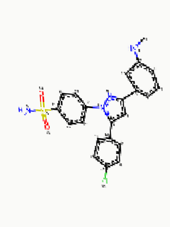 CNc1cccc(-c2cc(-c3ccc(Cl)cc3)n(-c3ccc(S(N)(=O)=O)cc3)n2)c1